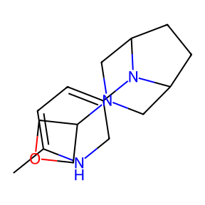 CC1=CC=C(N2C3CCC2CN(C2COC2)C3)CN1